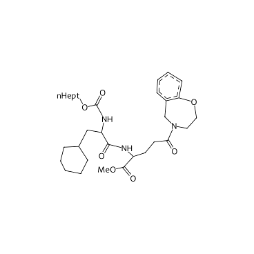 CCCCCCCOC(=O)NC(CC1CCCCC1)C(=O)NC(CCC(=O)N1CCOc2ccccc2C1)C(=O)OC